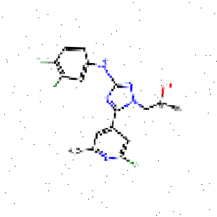 CC[C@H](O)Cn1nc(Nc2ccc(F)c(F)c2)nc1-c1cc(C)nc(Cl)c1